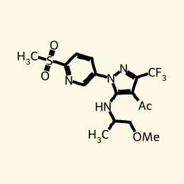 COCC(C)Nc1c(C(C)=O)c(C(F)(F)F)nn1-c1ccc(S(C)(=O)=O)nc1